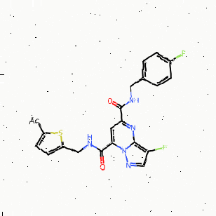 CC(=O)c1ccc(CNC(=O)c2cc(C(=O)NCc3ccc(F)cc3)nc3c(F)cnn23)s1